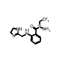 NN(CC(F)(F)F)C(=O)c1ccccc1NCC1=NCCN1